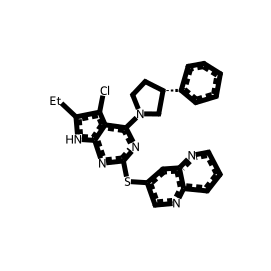 CCc1[nH]c2nc(Sc3cnc4cccnc4c3)nc(N3CC[C@H](c4ccccc4)C3)c2c1Cl